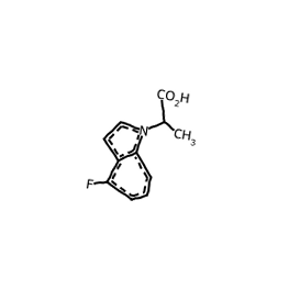 CC(C(=O)O)n1ccc2c(F)cccc21